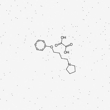 O=C(O)C(=O)O.c1ccc(OCCCCN2CCCC2)cc1